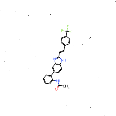 CC(=O)Nc1ccccc1-c1ccc2[nH]c(/C=C/c3ccc(C(F)(F)F)cc3)nc2c1